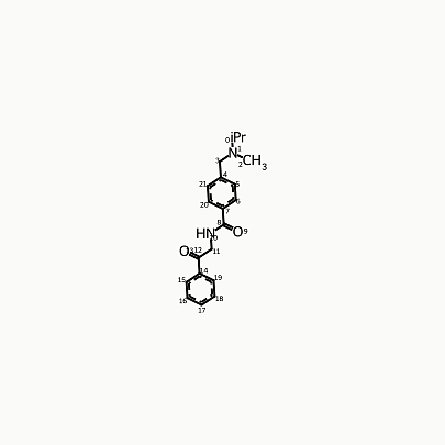 CC(C)N(C)Cc1ccc(C(=O)NCC(=O)c2ccccc2)cc1